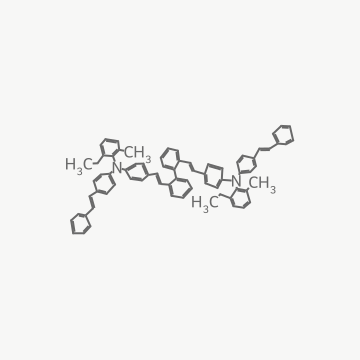 CCc1cccc(C)c1N(c1ccc(/C=C/c2ccccc2)cc1)c1ccc(/C=C/c2ccccc2-c2ccccc2/C=C/c2ccc(N(c3ccc(/C=C/c4ccccc4)cc3)c3c(C)cccc3CC)cc2)cc1